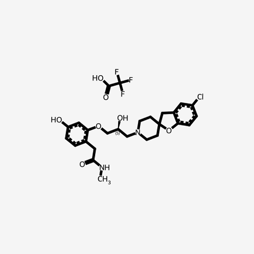 CNC(=O)Cc1ccc(O)cc1OC[C@@H](O)CN1CCC2(CC1)Cc1cc(Cl)ccc1O2.O=C(O)C(F)(F)F